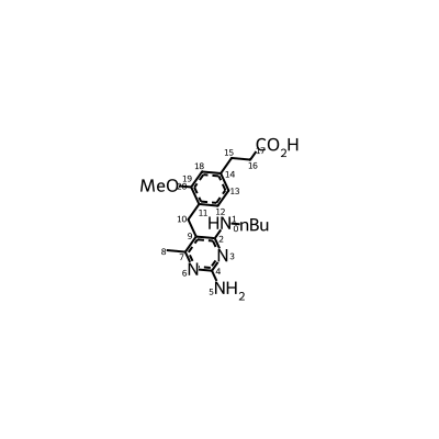 CCCCNc1nc(N)nc(C)c1Cc1ccc(CCC(=O)O)cc1OC